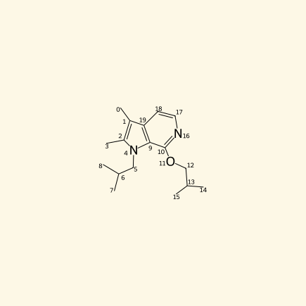 Cc1c(C)n(CC(C)C)c2c(OCC(C)C)nccc12